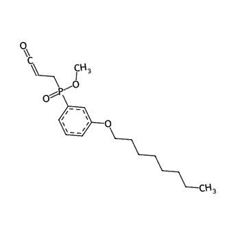 CCCCCCCCOc1cccc(P(=O)(CC=C=O)OC)c1